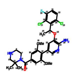 COc1cc(C(=O)N2CCNCC2(C)C)cc(OC)c1-c1cnc(N)c(OC(C)c2c(Cl)ccc(F)c2Cl)c1